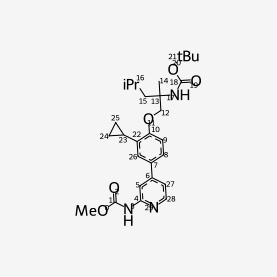 COC(=O)Nc1cc(-c2ccc(OCC(C)(CC(C)C)NC(=O)OC(C)(C)C)c(C3CC3)c2)ccn1